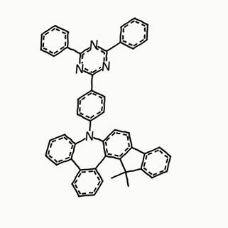 CC1(C)c2ccccc2-c2ccc3c(c21)-c1ccccc1-c1ccccc1N3c1ccc(-c2nc(-c3ccccc3)nc(-c3ccccc3)n2)cc1